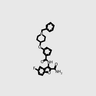 NC(=O)c1oc2ccc(F)cc2c1NC(=O)c1cccc(OC2CCN(Cc3ccccc3)CC2)c1